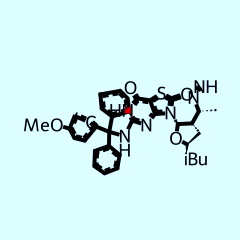 CC[C@H](C)[C@@H]1C[C@@H]([C@@H](C)N=N)[C@H](n2c(=O)sc3c(=O)[nH]c(NC(c4ccccc4)(c4ccccc4)c4ccc(OC)cc4)nc32)O1